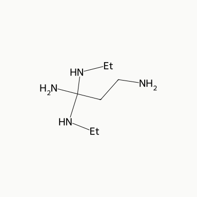 CCNC(N)(CCN)NCC